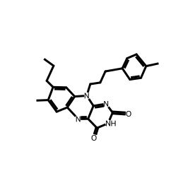 CCCc1cc2c(cc1C)nc1c(=O)[nH]c(=O)nc-1n2CCCc1ccc(C)cc1